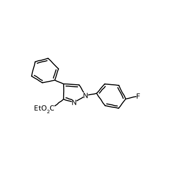 CCOC(=O)c1nn(-c2ccc(F)cc2)cc1-c1ccccc1